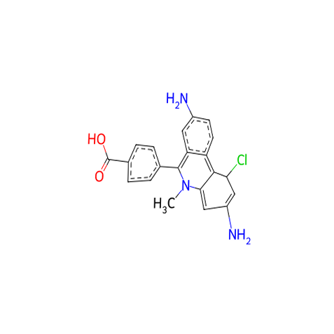 CN1C2=CC(N)=CC(Cl)C2=c2ccc(N)cc2=C1c1ccc(C(=O)O)cc1